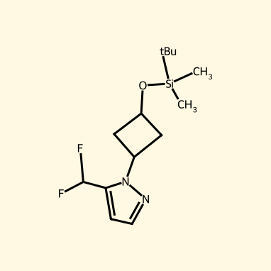 CC(C)(C)[Si](C)(C)OC1CC(n2nccc2C(F)F)C1